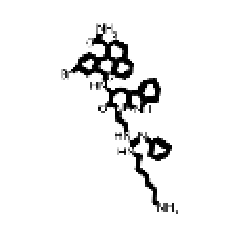 NCCCCCCNC(=Nc1ccccc1)NCCNC(=O)C(Cc1c[nH]c2ccccc12)NC(=O)c1cc(Br)ccc1-c1c(C(N)=O)ccc2ccccc12